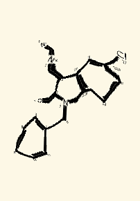 [N-]=[N+]=C1C(=O)N(Cc2ccccc2)c2ccc(Cl)cc21